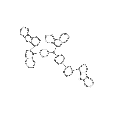 c1cc(-c2ccc(N(c3ccc(-c4c(-c5cccc6c5oc5ccccc56)ccc5ccccc45)cc3)c3cc4ccccc4c4ccccc34)cc2)cc(-c2cccc3c2oc2ccccc23)c1